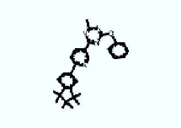 Cc1nc(Oc2ccccc2)nc(-c2ccc(-c3ccc4c(c3)C(C)(C)C(C)(C)C4(C)C)nc2)n1